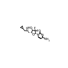 Nc1ccn([C@@H]2O[C@H](CNCC3CC3)[C@@H](O)C2(F)F)c(=O)n1